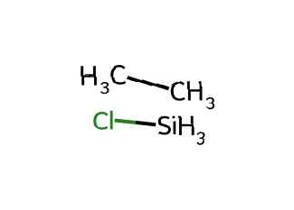 CC.[SiH3]Cl